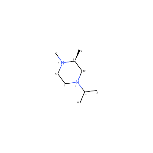 CC(C)N1CCN(C)[C@@H](C)C1